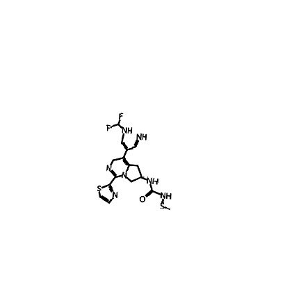 CSNC(=O)NC1CC2=C(/C(C=N)=C/NC(F)F)CN=C(c3nccs3)N2C1